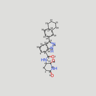 O=C1CCC(NC(=O)c2cccc3c(-c4ccc5c(c4)CCCC5)n[nH]c23)C(=O)N1